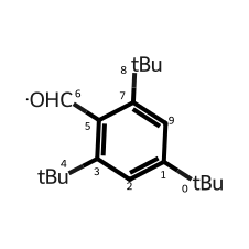 CC(C)(C)c1cc(C(C)(C)C)c([C]=O)c(C(C)(C)C)c1